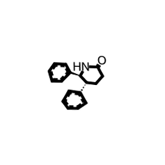 O=C1CC[C@H](c2ccccc2)[C@@H](c2ccccc2)N1